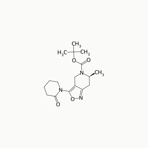 C[C@H]1Cc2noc(N3CCCCC3=O)c2CN1C(=O)OC(C)(C)C